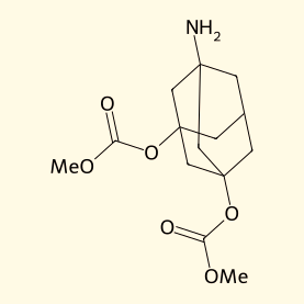 COC(=O)OC12CC3CC(N)(C1)CC(OC(=O)OC)(C3)C2